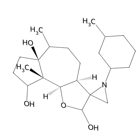 CC1CCCC(N2CC23C(O)O[C@@H]2[C@H]3CCC(C)[C@@]3(O)CCC(O)[C@@]23C)C1